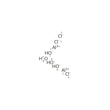 O.[Al+3].[Al+3].[Cl-].[Cl-].[Cl-].[OH-].[OH-].[OH-]